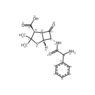 CC1(C)S[C@H]2[C@@H](NC(=O)C(N)c3ccccc3)C(=O)N2[C@@H]1C(=O)O